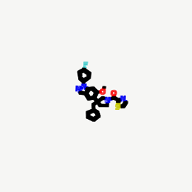 COc1cc2c(cnn2-c2ccc(F)cc2)cc1C1(Cc2ccccc2)CCN(C(=O)c2nccs2)C1